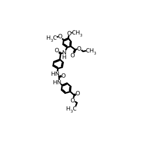 CCOC(=O)c1ccc(NC(=O)Nc2ccc(C(=O)Nc3cc(OC)c(OC)cc3C(=O)OCC)cc2)cc1